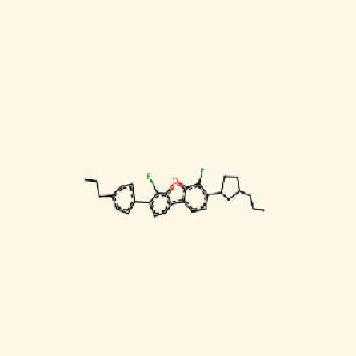 CCCc1ccc(-c2ccc3c(oc4c(F)c(C5CCC(CCC)C5)ccc43)c2F)cc1